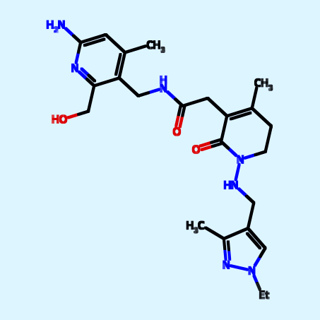 CCn1cc(CNN2CCC(C)=C(CC(=O)NCc3c(C)cc(N)nc3CO)C2=O)c(C)n1